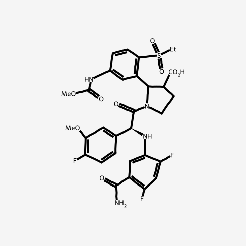 CCS(=O)(=O)c1ccc(NC(=O)OC)cc1C1C(C(=O)O)CCN1C(=O)[C@@H](Nc1cc(C(N)=O)c(F)cc1F)c1ccc(F)c(OC)c1